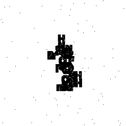 CCCCNC(=O)Nc1cc(F)c(Oc2ccnc3[nH]cc(Br)c23)c(F)c1